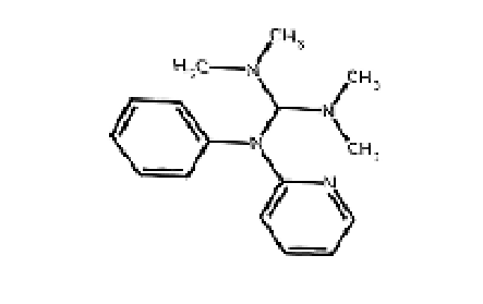 CN(C)C(N(C)C)N(c1ccccc1)c1ccccn1